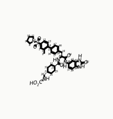 Cc1cc(S(=O)(=O)N2CCCC2)ccc1-c1ccc(C[C@H](NC(=O)[C@H]2CC[C@H](CNC(=O)O)CC2)C(=O)Nc2ccc3[nH]c(=O)[nH]c3c2)cc1